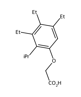 CCc1cc(OCC(=O)O)c(C(C)C)c(CC)c1CC